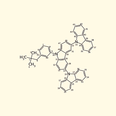 CC(C)(C)Cc1cccc(-n2c3ccc(-n4c5ccccc5c5ccccc54)cc3c3cc(-n4c5ccccc5c5ccccc54)ccc32)c1